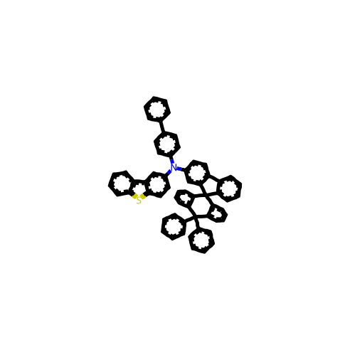 c1ccc(-c2ccc(N(c3ccc4c(c3)C3(c5ccccc5-4)c4ccccc4C(c4ccccc4)(c4ccccc4)c4ccccc43)c3ccc4sc5ccccc5c4c3)cc2)cc1